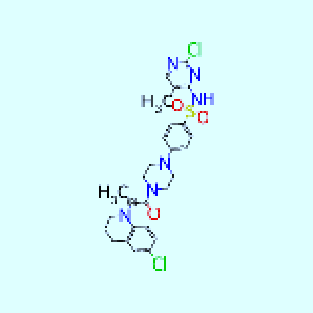 Cc1cnc(Cl)nc1NS(=O)(=O)c1ccc(N2CCN(C(=O)[C@@H](C)N3CCCc4cc(Cl)ccc43)CC2)cc1